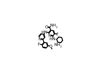 COc1ccc(F)c(-c2cc(Nc3nc(N[C@@H]4CCCC[C@@H]4N)c(F)cc3C(N)=O)ccn2)c1